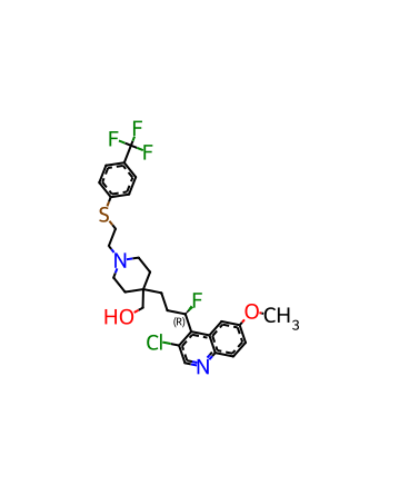 COc1ccc2ncc(Cl)c([C@H](F)CCC3(CO)CCN(CCSc4ccc(C(F)(F)F)cc4)CC3)c2c1